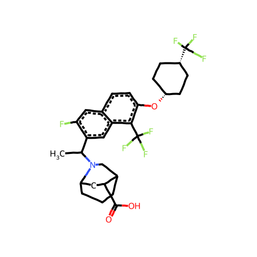 CC(c1cc2c(C(F)(F)F)c(O[C@H]3CC[C@@H](C(F)(F)F)CC3)ccc2cc1F)N1CC2CCCC1CC2C(=O)O